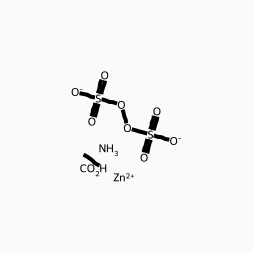 CC(=O)O.N.O=S(=O)([O-])OOS(=O)(=O)[O-].[Zn+2]